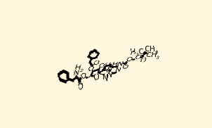 CC(C)(C)C(=O)OCOC(=O)Nc1ncnn2c([C@]3(C#N)O[C@H](COC(=O)[C@@H](N)Cc4ccccc4)[C@@H](OC(=O)CC4CCCCC4)[C@H]3O)ccc12